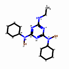 CCNc1nc(N(S)C2CCCCC2)nc(N(S)C2CCCCC2)n1